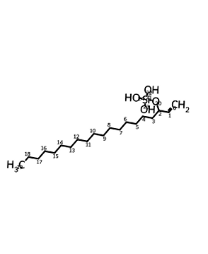 C=CC(CCCCCCCCCCCCCCCCC)O[Si](O)(O)O